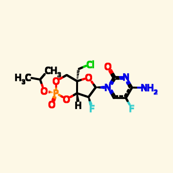 CC(C)O[P@]1(=O)OC[C@@]2(CCl)O[C@@H](n3cc(F)c(N)nc3=O)[C@@H](F)[C@@H]2O1